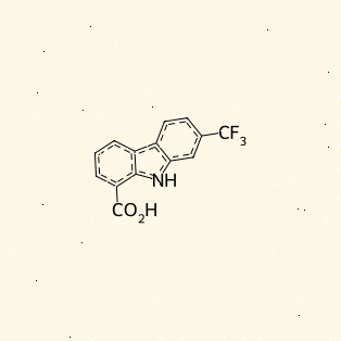 O=C(O)c1cccc2c1[nH]c1cc(C(F)(F)F)ccc12